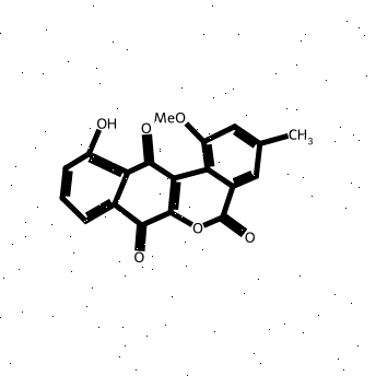 COc1cc(C)cc2c(=O)oc3c(c12)C(=O)c1c(O)cccc1C3=O